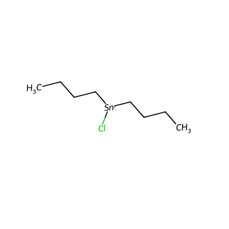 CCC[CH2][Sn]([Cl])[CH2]CCC